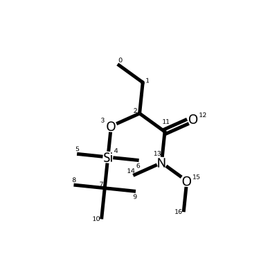 CCC(O[Si](C)(C)C(C)(C)C)C(=O)N(C)OC